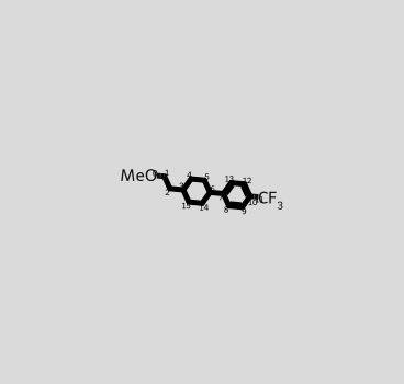 COCCC1CCC(c2ccc(C(F)(F)F)cc2)CC1